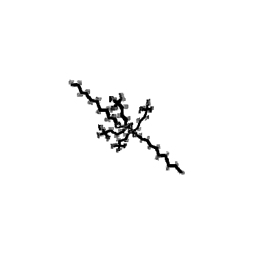 CCCCCCCCCC[O][Sn]([CH2]CCC(F)(F)F)([CH2]CCC(F)(F)F)[O][Sn]([CH2]CCC(F)(F)F)([CH2]CCC(F)(F)F)[O]CCCCCCCCCC